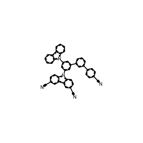 N#Cc1ccc(-c2cccc(-c3cc(-n4c5ccccc5c5ccccc54)cc(-n4c5ccc(C#N)cc5c5cc(C#N)ccc54)c3)c2)cc1